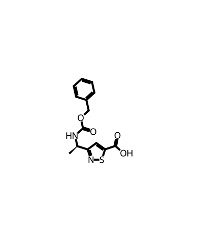 C[C@@H](NC(=O)OCc1ccccc1)c1cc(C(=O)O)sn1